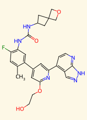 Cc1cc(F)c(NC(=O)NC2CC3(COC3)C2)cc1-c1cc(OCCO)nc(-c2ccnc3[nH]ncc23)c1